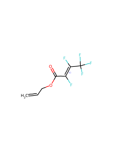 C=CCOC(=O)/C(F)=C(\F)C(F)(F)F